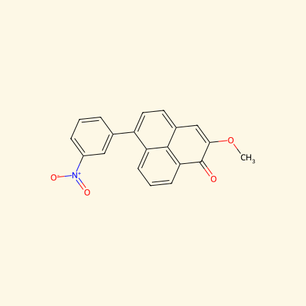 COC1=Cc2ccc(-c3cccc([N+](=O)[O-])c3)c3cccc(c23)C1=O